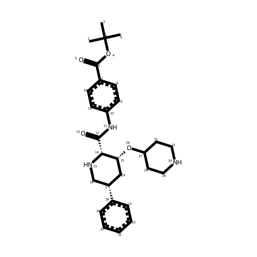 CC(C)(C)OC(=O)c1ccc(NC(=O)[C@H]2NC[C@@H](c3ccccc3)C[C@H]2OC2CCNCC2)cc1